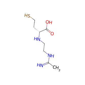 CC(=N)NCCN[C@H](CCS)C(=O)O